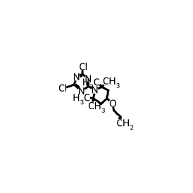 C=CCOC1CC(C)(C)N(c2nc(Cl)nc(Cl)n2)C(C)(C)C1